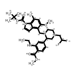 CCNc1cc(C2CN(CC(F)F)CCN2Cc2c(OC)cc(C)c3c2ccn3C(=O)OC(C)(C)C)ccc1C(=O)OC